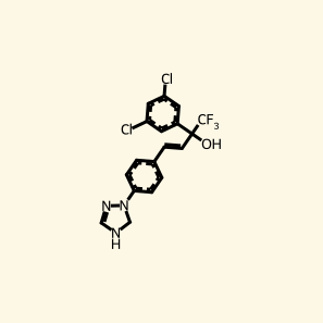 OC(/C=C/c1ccc(N2CNC=N2)cc1)(c1cc(Cl)cc(Cl)c1)C(F)(F)F